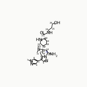 Cc1c(-c2cnn(C)c2)cnn1/C(N)=C\C(C)([C@H]1CC[C@@H](C(=O)NCCCO)NC1)N(C)C